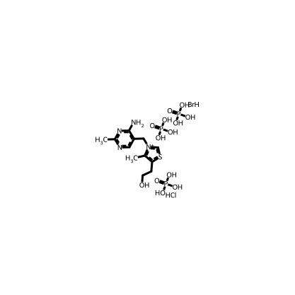 Br.Cc1ncc(C[n+]2csc(CCO)c2C)c(N)n1.Cl.O=P(O)(O)O.O=P(O)(O)O.O=P(O)(O)O